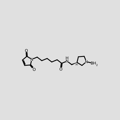 BN1CC[C@H](CNC(=O)CCCCCN2C(=O)C=CC2=O)C1